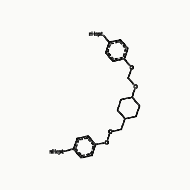 CCCCCCCc1ccc(OCOC2CCC(COOc3ccc(CCCCCCC)cc3)CC2)cc1